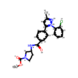 CC(C)(C)OC(=O)N1CCC(NC(=O)c2ccc(-c3cc(C(F)(F)F)nn3-c3ccccc3Cl)cc2)C1